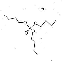 CCCCOP(=O)(OCCCC)OCCCC.[Eu]